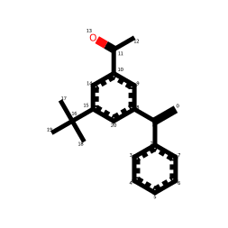 C=C(c1ccccc1)c1cc(C(C)=O)cc(C(C)(C)C)c1